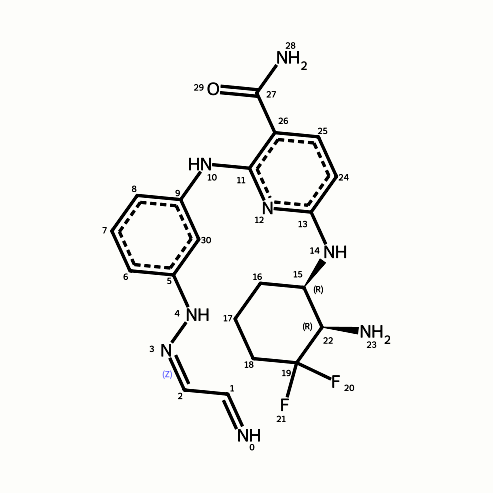 N=C/C=N\Nc1cccc(Nc2nc(N[C@@H]3CCCC(F)(F)[C@@H]3N)ccc2C(N)=O)c1